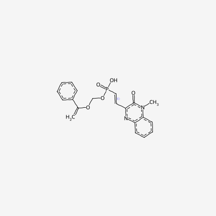 C=C(OCOP(=O)(O)/C=C/c1nc2ccccc2n(C)c1=O)c1ccccc1